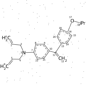 C=CCN(CC=C)c1ccc(C(=C)c2ccc(OC(C)C)cc2)cc1